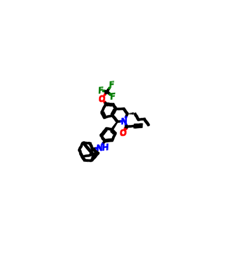 C#CC(=O)N1[C@@H](CCCC)Cc2cc(OC(F)(F)F)ccc2[C@@H]1c1ccc(NC23CC4CC(C2)C(C)C(C4)C3)cc1